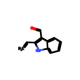 C=Cc1[nH]c2ccccc2c1C=O